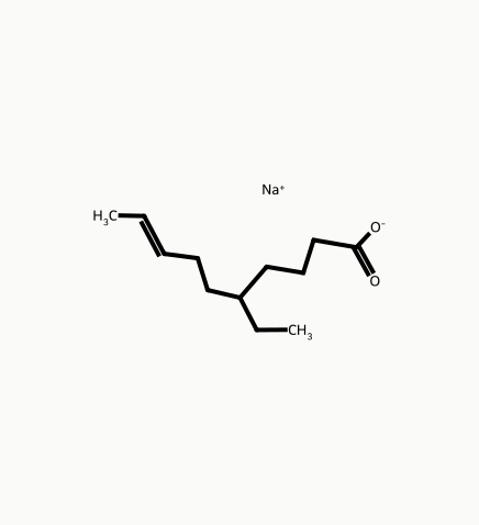 CC=CCCC(CC)CCCC(=O)[O-].[Na+]